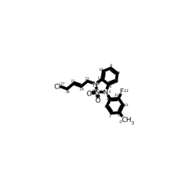 Cc1ccc(N2c3ccccc3N(CC=CCCl)S2(=O)=O)c(F)c1